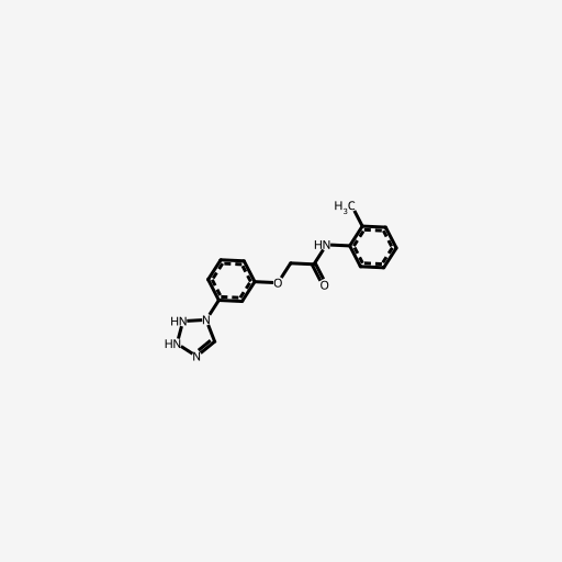 Cc1ccccc1NC(=O)COc1cccc(N2C=NNN2)c1